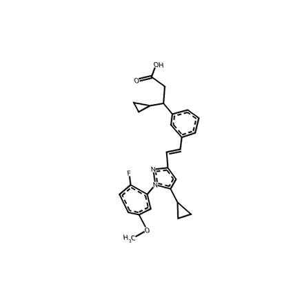 COc1ccc(F)c(-n2nc(C=Cc3cccc(C(CC(=O)O)C4CC4)c3)cc2C2CC2)c1